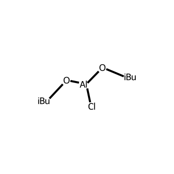 CCC(C)[O][Al]([Cl])[O]C(C)CC